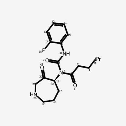 CC(C)C[CH]C(=O)N(C(=O)Nc1ccccc1F)[C@H]1CCCNCC1=O